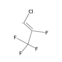 F/C(=[C]\Cl)C(F)(F)F